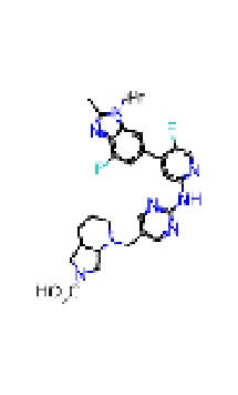 Cc1nc2c(F)cc(-c3cc(Nc4ncc(CN5CCCC6CN(C(=O)O)CC65)cn4)ncc3F)cc2n1C(C)C